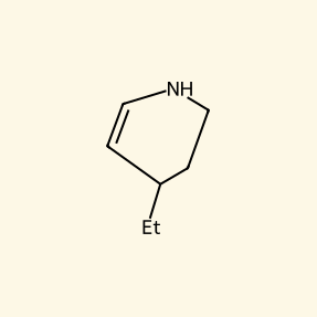 CCC1C=CNCC1